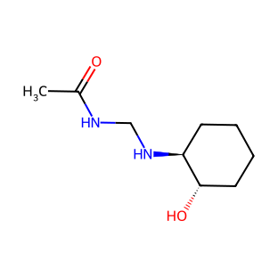 CC(=O)NCN[C@H]1CCCC[C@@H]1O